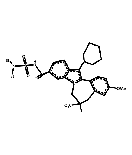 CCN(CC)S(=O)(=O)NC(=O)c1ccc2c(C3CCCCC3)c3n(c2c1)CC(C)(C(=O)O)Cc1cc(OC)ccc1-3